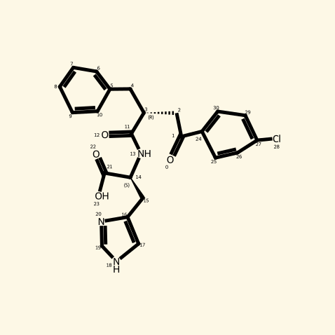 O=C(C[C@@H](Cc1ccccc1)C(=O)N[C@@H](Cc1c[nH]cn1)C(=O)O)c1ccc(Cl)cc1